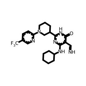 N=Cc1c(NC2CCCCC2)nc(C2CCCN(c3ccc(C(F)(F)F)cn3)C2)[nH]c1=O